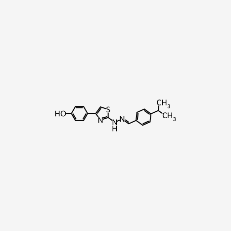 CC(C)c1ccc(C=NNc2nc(-c3ccc(O)cc3)cs2)cc1